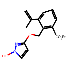 C=C(C)c1cccc(C(=O)OCC)c1COc1ccn(O)n1